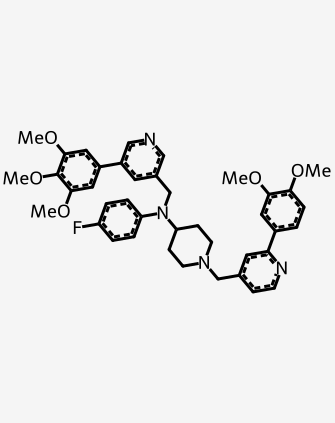 COc1ccc(-c2cc(CN3CCC(N(Cc4cncc(-c5cc(OC)c(OC)c(OC)c5)c4)c4ccc(F)cc4)CC3)ccn2)cc1OC